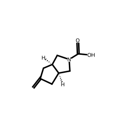 C=C1C[C@@H]2CN(C(=O)O)C[C@@H]2C1